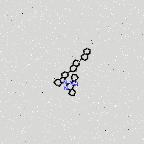 c1ccc2cc(-c3ccc4cc(-c5ccc6c7ccccc7n(-c7nc8ccccc8c8nc9ccccc9n78)c6c5)ccc4c3)ccc2c1